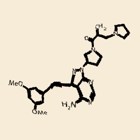 C=C(CN1CCCC1)C(=O)N1CCC(n2nc(C#Cc3cc(OC)cc(OC)c3)c3c(N)ncnc32)C1